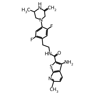 C=C1CN(c2cc(F)c(CCNC(=O)c3sc4nc(C)ccc4c3N)cc2F)CC(C)N1